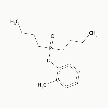 CCCCP(=O)(CCCC)Oc1ccccc1C